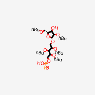 CCCCOC[C@H]1O[C@@H](OCC(OCCCC)C(OCCCC)C(CO[PH](=O)O)OCCCC)[C@@H](OCCCC)C1O